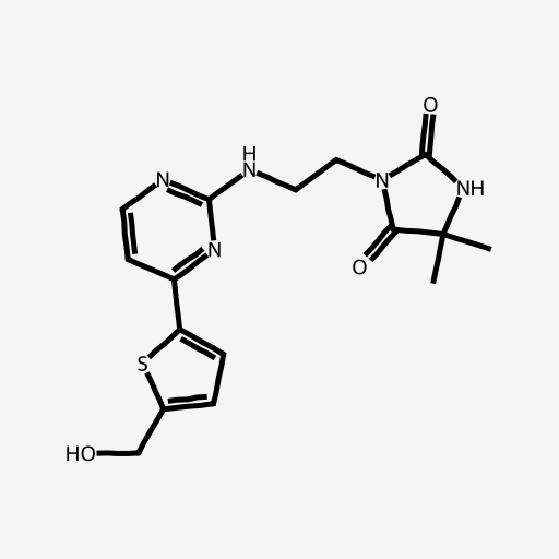 CC1(C)NC(=O)N(CCNc2nccc(-c3ccc(CO)s3)n2)C1=O